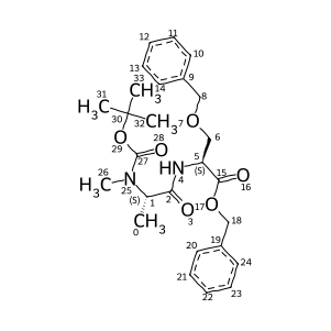 C[C@@H](C(=O)N[C@@H](COCc1ccccc1)C(=O)OCc1ccccc1)N(C)C(=O)OC(C)(C)C